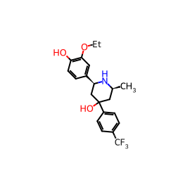 CCOc1cc([C@@H]2CC(O)(c3ccc(C(F)(F)F)cc3)C[C@H](C)N2)ccc1O